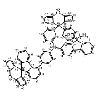 CC1(C)c2ccccc2-c2ccc(N(c3ccc(-c4cccc5c4-c4ccccc4C54c5ccccc5Oc5ccccc54)cc3)c3cccc4c3-c3ccccc3C43c4ccccc4Oc4ccccc43)cc21